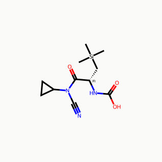 C[Si](C)(C)C[C@H](NC(=O)O)C(=O)N(C#N)C1CC1